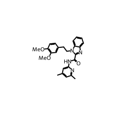 COc1ccc(CCn2c(C(=O)Nc3cc(C)cc(C)n3)nc3ccccc32)cc1OC